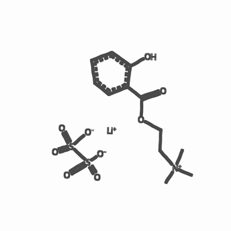 C[N+](C)(C)CCOC(=O)c1ccccc1O.O=S(=O)([O-])S(=O)(=O)[O-].[Li+]